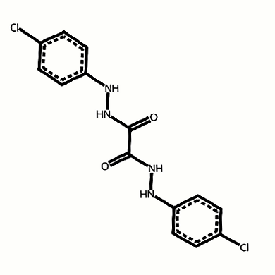 O=C(NNc1ccc(Cl)cc1)C(=O)NNc1ccc(Cl)cc1